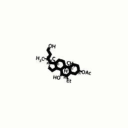 CC[C@@H]1C2C[C@H](OC(C)=O)CC[C@]2(C)[C@H]2CC[C@@]3(C)C(CC[C@@H]3[C@H](C)CCO)C2[C@@H]1O